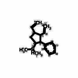 C=CC1CC([SiH](C)C)C(c2ccccc2)C1C=C